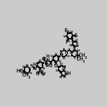 CC1(C)CCC(CN2CCN(c3ccc(C(=O)NS(=O)(=O)c4ccc(NC[C@H]5CC[C@](C)(O)CC5)c([N+](=O)[O-])c4)c(Oc4cnc5[nH]ccc5c4)c3)CC2)=C(c2cc(-c3c(F)cc(F)cc3F)cs2)C1